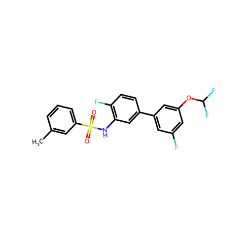 Cc1cccc(S(=O)(=O)Nc2cc(-c3cc(F)cc(OC(F)F)c3)ccc2F)c1